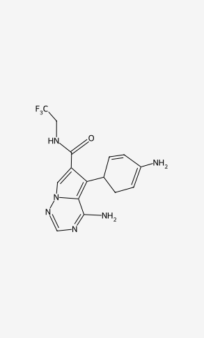 NC1=CCC(c2c(C(=O)NCC(F)(F)F)cn3ncnc(N)c23)C=C1